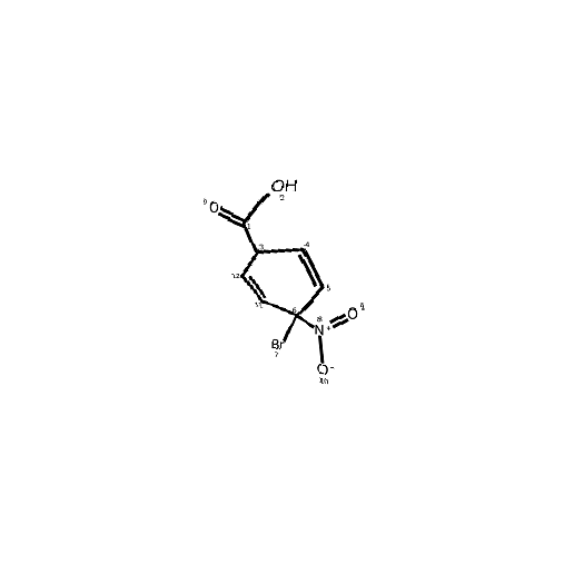 O=C(O)C1C=CC(Br)([N+](=O)[O-])C=C1